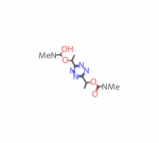 CNC(=O)OC(C)c1nnc(C(C)OC(O)NC)nn1